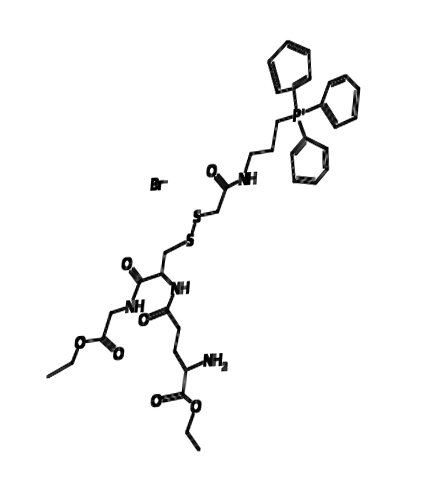 CCOC(=O)CNC(=O)C(CSSCC(=O)NCCC[P+](c1ccccc1)(c1ccccc1)c1ccccc1)NC(=O)CCC(N)C(=O)OCC.[Br-]